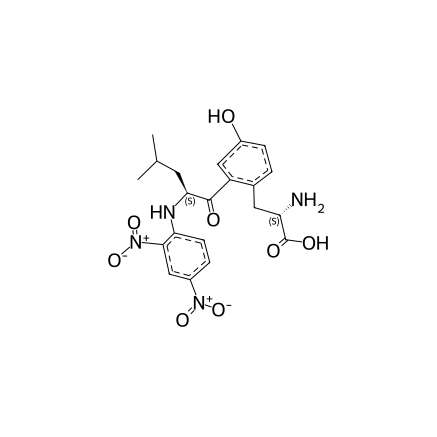 CC(C)C[C@H](Nc1ccc([N+](=O)[O-])cc1[N+](=O)[O-])C(=O)c1cc(O)ccc1C[C@H](N)C(=O)O